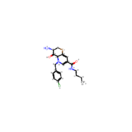 N[C@H]1CSC2=CC(C(=O)NCCCC(F)(F)F)=CN(Cc3ccc(Cl)cc3)C2C1=O